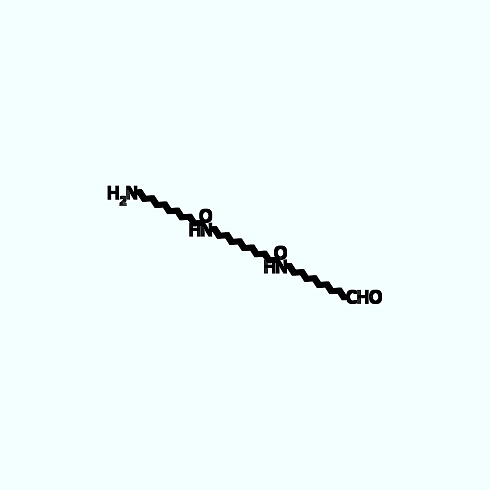 NCCCCCCCCCCC(=O)NCCCCCCCCCCC(=O)NCCCCCCCCCCC=O